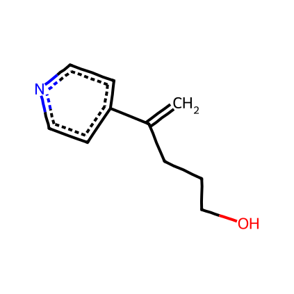 C=C(CCCO)c1ccncc1